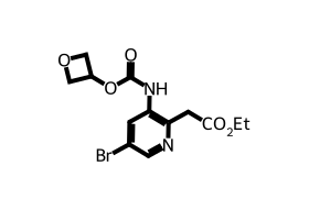 CCOC(=O)Cc1ncc(Br)cc1NC(=O)OC1COC1